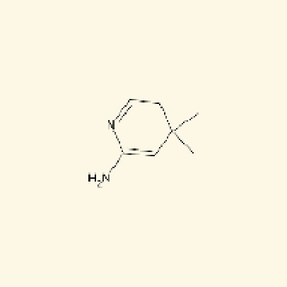 CC1(C)C=C(N)N=CC1